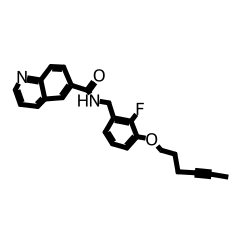 CC#CCCCOc1cccc(CNC(=O)c2ccc3ncccc3c2)c1F